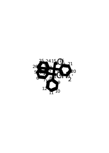 [CH2]C(c1ccccc1)(c1ccccc1)C(C=O)(c1ccccc1)c1ccccc1